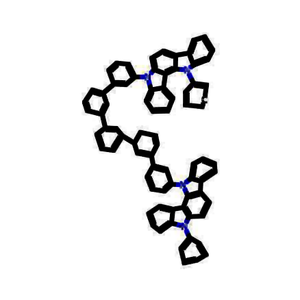 C1=CC(n2c3ccccc3c3ccc4c(c5ccccc5n4-c4cccc(-c5cccc(-c6cccc(C7C=C(c8cccc(-n9c%10ccccc%10c%10ccc%11c(c%12ccccc%12n%11-c%11ccccc%11)c%109)c8)C=CC7)c6)c5)c4)c32)=CCC1